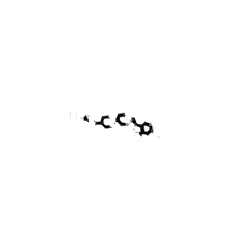 COc1cc(OC)c(-c2cn3ccc(N4CCC(CNC(=O)O)CC4)cc3n2)cc1Cl